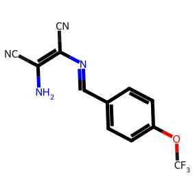 N#CC(N)=C(C#N)N=Cc1ccc(OC(F)(F)F)cc1